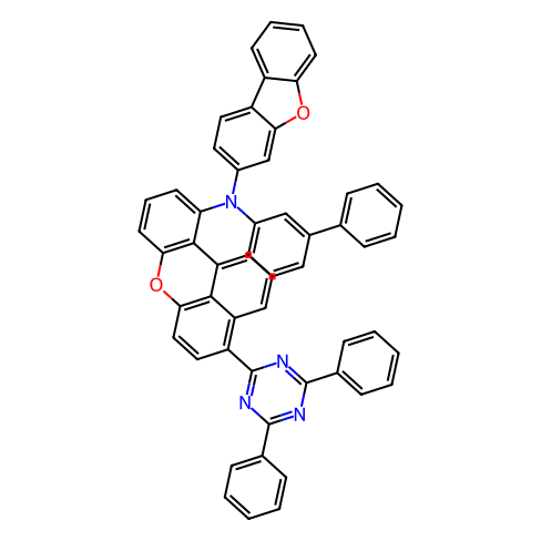 c1ccc(-c2cccc(N(c3ccc4c(c3)oc3ccccc34)c3cccc4c3-c3cccc5c(-c6nc(-c7ccccc7)nc(-c7ccccc7)n6)ccc(c35)O4)c2)cc1